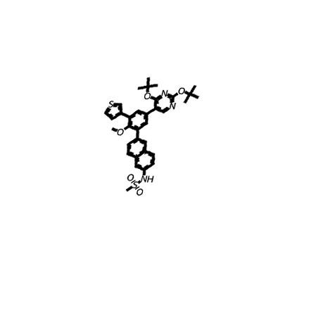 COc1c(-c2ccsc2)cc(-c2cnc(OC(C)(C)C)nc2OC(C)(C)C)cc1-c1ccc2cc(NS(C)(=O)=O)ccc2c1